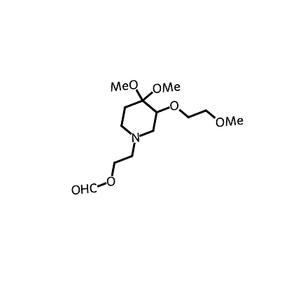 COCCOC1CN(CCOC=O)CCC1(OC)OC